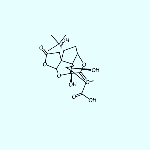 C[C@H](C(=O)O)[C@@]1(O)[C@@H](O)CC23C4C[C@@H](C(C)(C)C)C25C(OC(=O)[C@@H]5O)OC31C(=O)O4